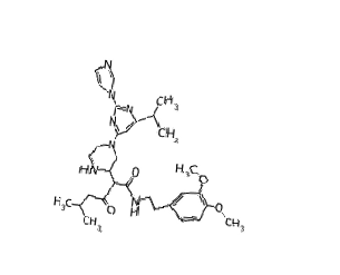 COc1ccc(CCNC(=O)C(C(=O)CC(C)C)C2CN(c3cc(C(C)C)nc(-n4ccnc4)n3)CCN2)cc1OC